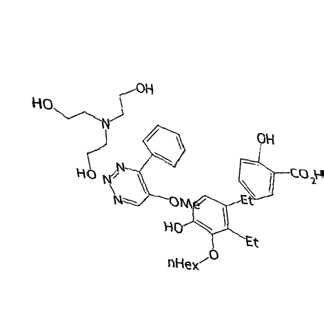 CCCCCCOc1c(O)ccc(CC)c1CC.COc1cnnnc1-c1ccccc1.O=C(O)c1ccccc1O.OCCN(CCO)CCO